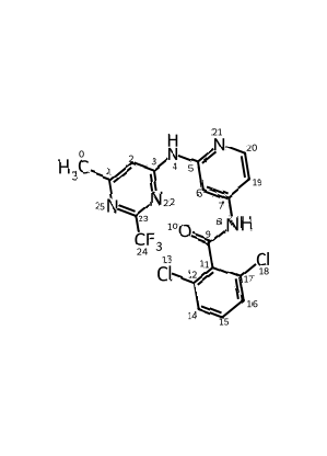 Cc1cc(Nc2cc(NC(=O)c3c(Cl)cccc3Cl)ccn2)nc(C(F)(F)F)n1